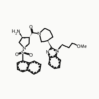 COCCCn1c([C@@H]2CCCN(C(=O)[C@@H]3CN(S(=O)(=O)c4cccc5ccccc45)C[C@H]3N)C2)nc2ccccc21